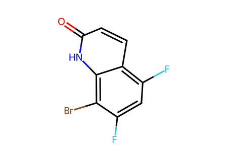 O=c1ccc2c(F)cc(F)c(Br)c2[nH]1